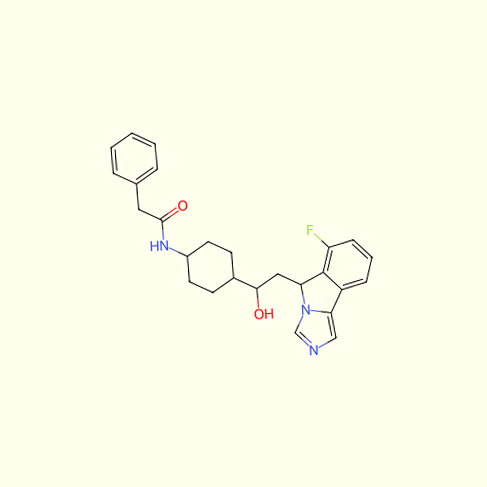 O=C(Cc1ccccc1)NC1CCC(C(O)CC2c3c(F)cccc3-c3cncn32)CC1